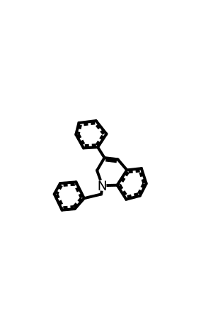 C1=C(c2ccccc2)CN(Cc2ccccc2)c2ccccc21